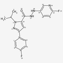 CC(C)n1nc(-c2ccc(F)cc2)cc1C(=O)NNc1ccc(F)nc1